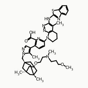 COCCCN(C)CCO[C@]12C[C@@]3(C)C[C@](C)(C[C@](Cn4ncc(-c5ccc(N6CCCc7c6nnc(Nc6nc8ccccc8s6)c7C)nc5C(=O)O)c4C)(C3)C1)C2